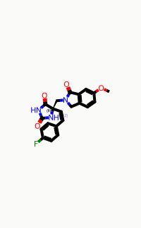 COc1ccc2c(c1)C(=O)N(C[C@@]1(/C=C\c3ccc(F)cc3)NC(=O)NC1=O)C2